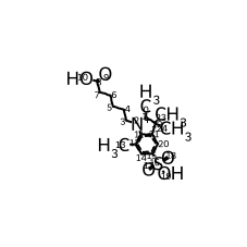 CC1=[N+](CCCCCC(=O)O)c2c(C)cc(S(=O)(=O)O)cc2C1(C)C